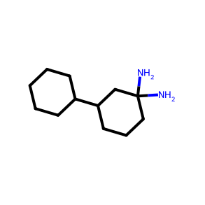 NC1(N)CCCC(C2CCCCC2)C1